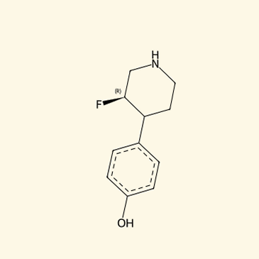 Oc1ccc(C2CCNC[C@@H]2F)cc1